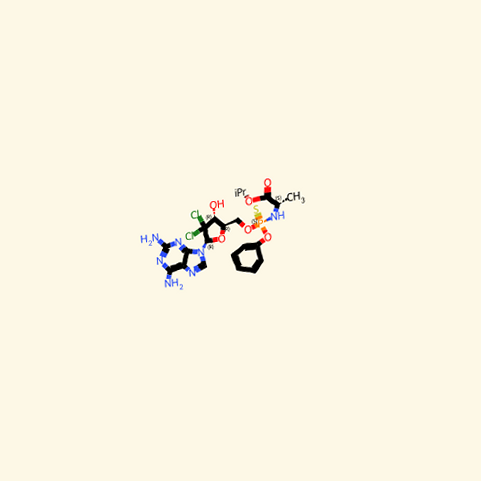 CC(C)OC(=O)[C@H](C)N[P@](=S)(OC[C@H]1O[C@@H](n2cnc3c(N)nc(N)nc32)C(Cl)(Cl)[C@@H]1O)Oc1ccccc1